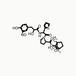 CC1(C)C2CCC1(C)C(OC(=O)C1CCCN1C(=O)C(NC(=O)C(O)Cc1ccc(O)c(N=O)c1)c1cccs1)C2